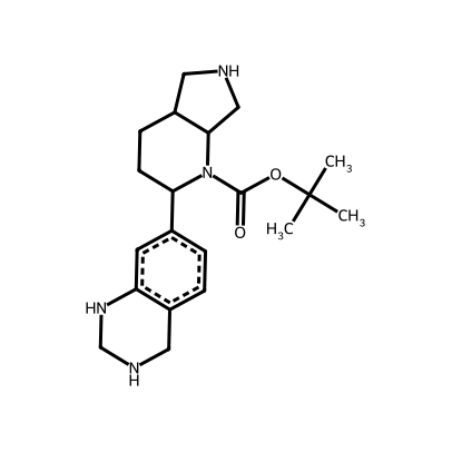 CC(C)(C)OC(=O)N1C(c2ccc3c(c2)NCNC3)CCC2CNCC21